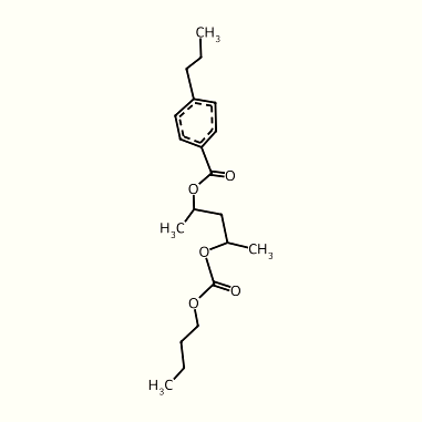 CCCCOC(=O)OC(C)CC(C)OC(=O)c1ccc(CCC)cc1